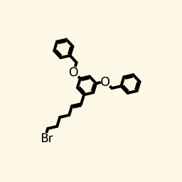 BrCCCCC=Cc1cc(OCc2ccccc2)cc(OCc2ccccc2)c1